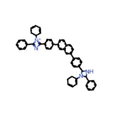 C1=CCCC(N2C(c3ccccc3)NC2c2ccc(-c3ccc4ccc(-c5ccc(C6=[N+](C7C=CC=CC7)C(c7ccccc7)=N6)cc5)cc4c3)cc2)=C1